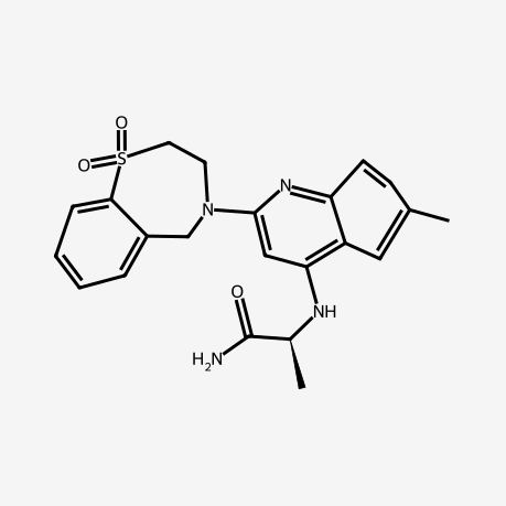 Cc1ccc2nc(N3CCS(=O)(=O)c4ccccc4C3)cc(N[C@@H](C)C(N)=O)c2c1